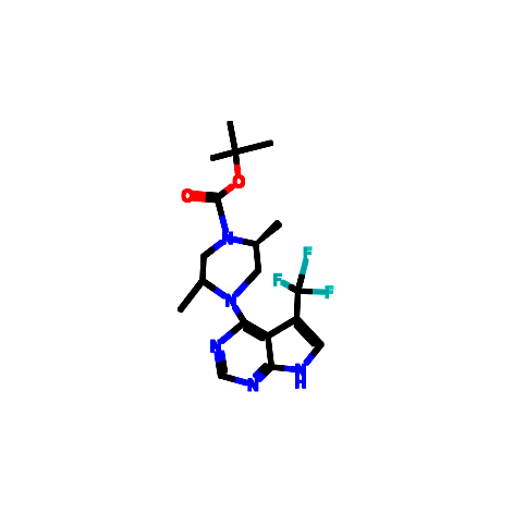 CC1CN(C(=O)OC(C)(C)C)[C@@H](C)CN1c1ncnc2[nH]cc(C(F)(F)F)c12